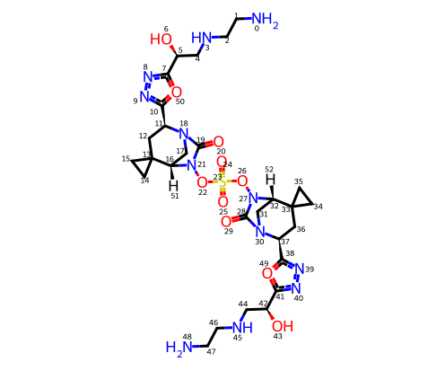 NCCNC[C@H](O)c1nnc([C@@H]2CC3(CC3)[C@@H]3CN2C(=O)N3OS(=O)(=O)ON2C(=O)N3C[C@H]2C2(CC2)C[C@H]3c2nnc([C@@H](O)CNCCN)o2)o1